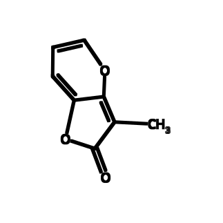 Cc1c2occcc-2oc1=O